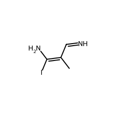 C/C(C=N)=C(/N)I